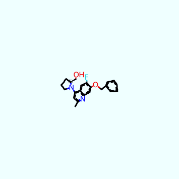 Cc1cc(N2CCC[C@H]2CO)c2cc(F)c(OCc3ccccc3)cc2n1